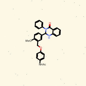 COc1ccc(C2Nc3ccccc3C(=O)N2c2ccccc2)cc1COc1ccc(NC(C)=O)cc1